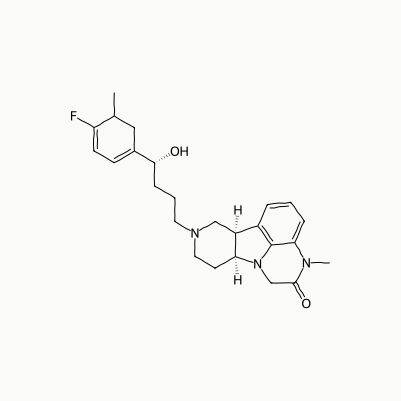 CC1CC([C@H](O)CCCN2CC[C@H]3[C@@H](C2)c2cccc4c2N3CC(=O)N4C)=CC=C1F